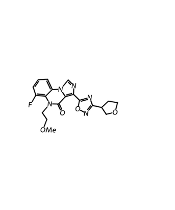 COCCn1c(=O)c2c(-c3nc(C4CCOC4)no3)ncn2c2cccc(F)c21